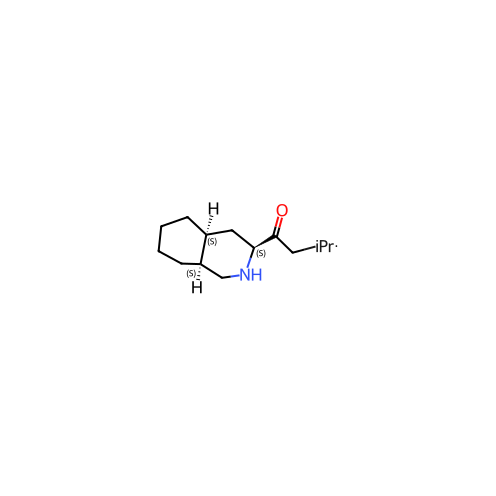 C[C](C)CC(=O)[C@@H]1C[C@@H]2CCCC[C@@H]2CN1